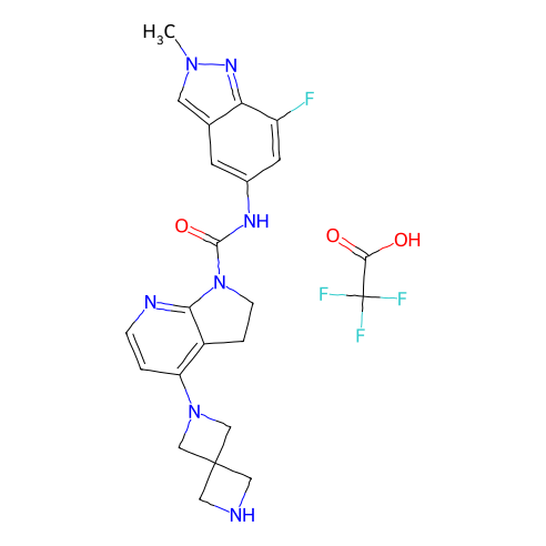 Cn1cc2cc(NC(=O)N3CCc4c(N5CC6(CNC6)C5)ccnc43)cc(F)c2n1.O=C(O)C(F)(F)F